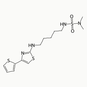 CN(C)S(=O)(=O)NCCCCCNc1nc(-c2cccs2)cs1